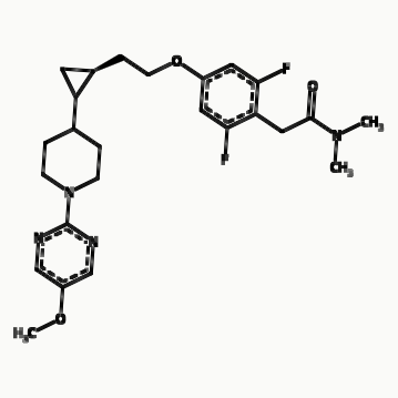 COc1cnc(N2CCC(C3C[C@H]3CCOc3cc(F)c(CC(=O)N(C)C)c(F)c3)CC2)nc1